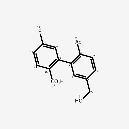 CC(=O)c1ccc(CO)cc1-c1cc(F)ccc1C(=O)O